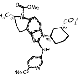 COC(=O)N1c2ccc3c(nc(Nc4ccc(OC)nc4)n3[C@@H]3CCC[C@@H](C(=O)O)C3)c2CC[C@@H]1C